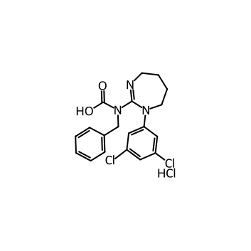 Cl.O=C(O)N(Cc1ccccc1)C1=NCCCCN1c1cc(Cl)cc(Cl)c1